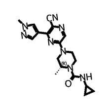 C[C@@H]1CN(c2cnc(C#N)c(-c3cnn(C)c3)n2)CCN1C(=O)NC1CC1